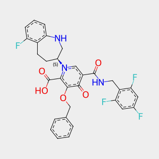 O=C(NCc1c(F)cc(F)cc1F)c1cn([C@H]2CCc3c(F)cccc3NC2)c(C(=O)O)c(OCc2ccccc2)c1=O